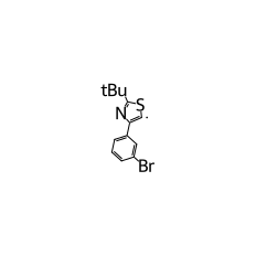 CC(C)(C)c1nc(-c2cccc(Br)c2)[c]s1